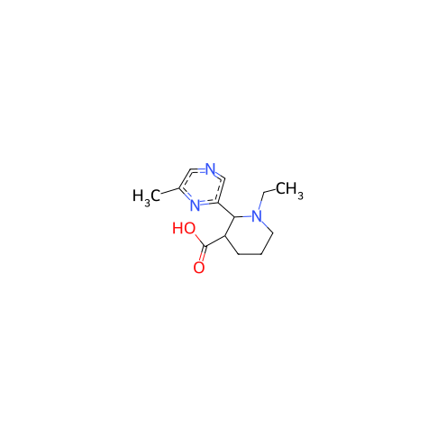 CCN1CCCC(C(=O)O)C1c1cncc(C)n1